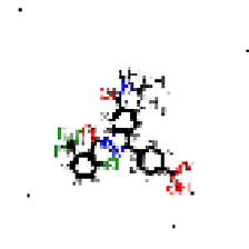 CC(C)N(C)C(=O)c1ccc2c(C3=CCC(C(=O)O)CC3)nn(C(=O)c3c(Cl)cccc3C(F)(F)F)c2c1